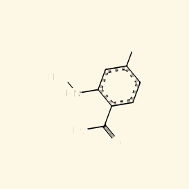 CNc1cc(Cl)ccc1C(C)=O